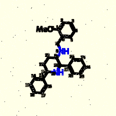 COc1ccccc1CNC1CCC(c2ccccc2)NC1c1ccccc1